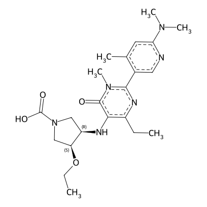 CCO[C@H]1CN(C(=O)O)C[C@H]1Nc1c(CC)nc(-c2cnc(N(C)C)cc2C)n(C)c1=O